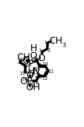 CCCCOC(O)([PH2]=O)c1cccc(CP(=O)(O)OCCCC)n1